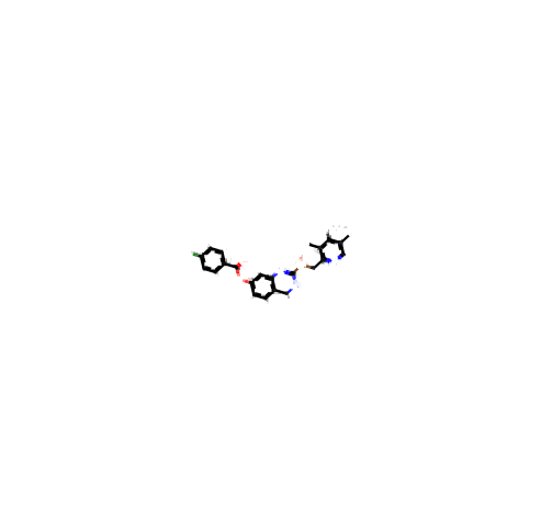 COc1c(C)cnc(C[S+]([O-])C2=Nc3cc(OC(=O)c4ccc(F)cc4)ccc3CN2)c1C